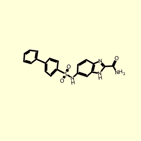 NC(=O)c1nc2ccc(NS(=O)(=O)c3ccc(-c4ccccc4)cc3)cc2[nH]1